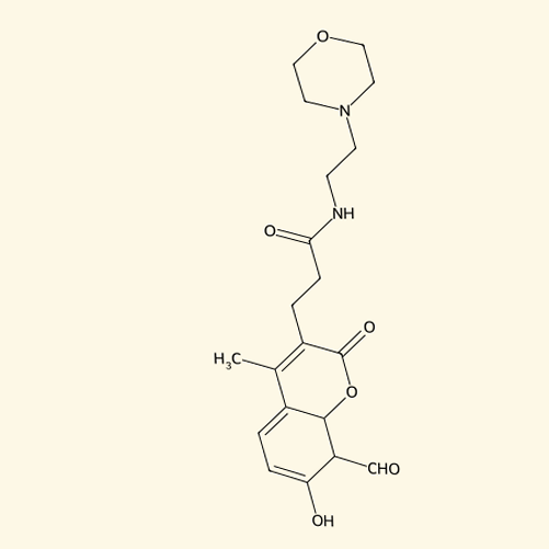 CC1=C(CCC(=O)NCCN2CCOCC2)C(=O)OC2C1=CC=C(O)C2C=O